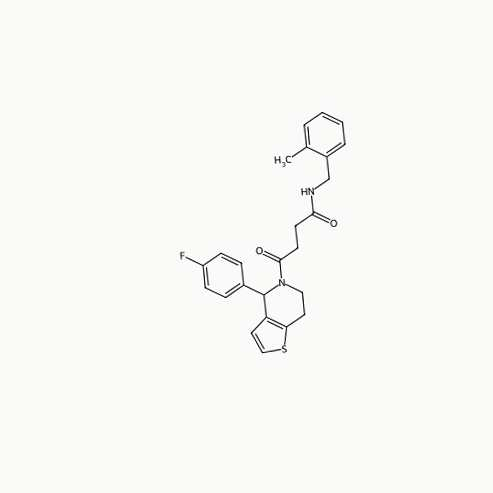 Cc1ccccc1CNC(=O)CCC(=O)N1CCc2sccc2C1c1ccc(F)cc1